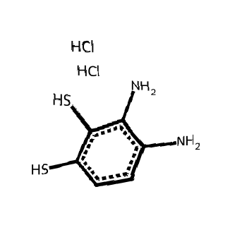 Cl.Cl.Nc1ccc(S)c(S)c1N